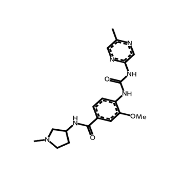 COc1cc(C(=O)NC2CCN(C)C2)ccc1NC(=O)Nc1cnc(C)cn1